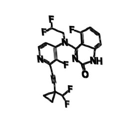 O=c1nc(N(CC(F)F)c2ccnc(C#CC3(C(F)F)CC3)c2F)c2c(F)cccc2[nH]1